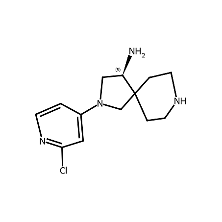 N[C@@H]1CN(c2ccnc(Cl)c2)CC12CCNCC2